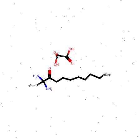 CCCCCCCCCCCCCCCCCC(=O)C(N)(N)CCCCC.O=C(O)C(=O)O